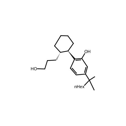 CCCCCCC(C)(C)c1ccc([C@@H]2CCCC[C@H]2CCCO)c(O)c1